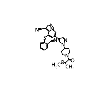 CO[C@H](C)C(=O)N1CCC(n2cc(-c3cc(Sc4ccccc4C#N)c4c(C#N)cnn4c3)cn2)CC1